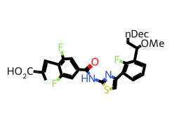 CCCCCCCCCCCC(OC)c1cccc(-c2csc(NC(=O)c3cc(F)c(C=C(C)C(=O)O)c(F)c3)n2)c1F